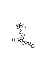 COc1cc(N2CCC3(CC2)CC(C(OC)OC)C3)c(F)cc1C1=CCCc2cc(OCc3ccccc3)ccc21